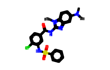 CCCn1c(NC(=O)c2ccc(Cl)c(NS(=O)(=O)c3ccccc3)c2)nc2cc(N(C)C(C)=O)ccc21